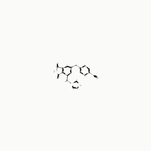 CC(c1cc(Cc2ccc(C#N)cc2)cc2c1C(=O)NC2=O)n1ccnc1